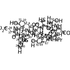 CSCC[C@H](NC(=O)[C@H](Cc1ccc(O)cc1)NC(=O)[C@H](CS)NC(=O)[C@H](Cc1c[nH]cn1)NC(=O)[C@@H](N)CCC(=O)O)C(=O)N[C@@H](CS)C(=O)N[C@@H](CO)C(=O)N[C@@H](CCC(=O)O)C(=O)N[C@H](C(=O)N[C@@H](Cc1ccc(O)cc1)C(=O)O)C(C)C